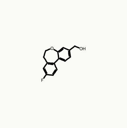 OCc1ccc2c(c1)OCCc1cc(F)ccc1-2